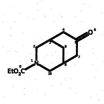 CCOC(=O)N1CC2CC(=O)CC(C2)C1